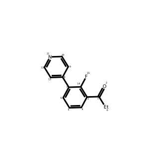 CCC(=O)c1cccc(-c2ccncc2)c1F